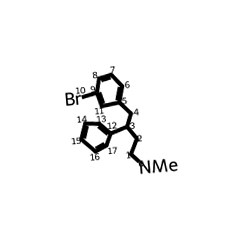 CNCCC(Cc1cccc(Br)c1)c1ccccc1